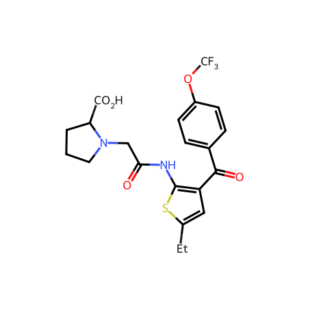 CCc1cc(C(=O)c2ccc(OC(F)(F)F)cc2)c(NC(=O)CN2CCCC2C(=O)O)s1